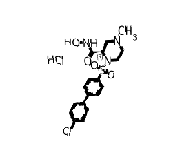 CN1CCN(S(=O)(=O)c2ccc(-c3ccc(Cl)cc3)cc2)[C@@H](C(=O)NO)C1.Cl